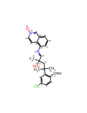 COc1ccc(Cl)cc1C(C)(C)CC(O)(C=Nc1cccc2c[n+]([O-])ccc12)C(F)(F)F